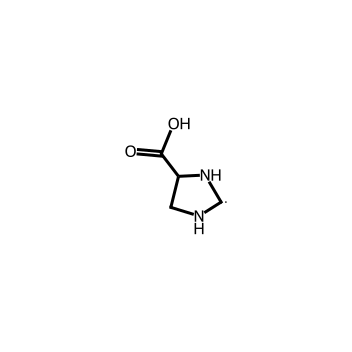 O=C(O)C1CN[CH]N1